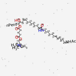 CCCCCC(OC(=O)CCCC(=O)OCC[N+](C)(C)C)C(O)C/C=C\CCCCCCCC(=O)NCCCCCCCCCCCCNC(C)=O